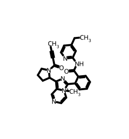 CC#CC(=O)N1CCCC1C1=C2C=NC=C[N+]2(C)C(c2ccccc2C(=O)Nc2cc(CC)ccn2)=N1